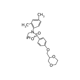 Cc1ccc(N(CC(C)C)S(=O)(=O)c2ccc(OCC3COCCO3)cc2)c(C)c1